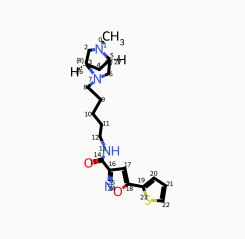 CN1C[C@H]2C[C@@H]1CN2CCCCCNC(=O)c1cc(-c2cccs2)on1